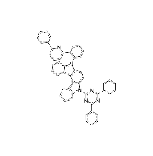 c1ccc(-c2cccc(-c3ccccc3-n3c4ccccc4c4c5c6ccccc6n(-c6nc(-c7ccccc7)nc(-c7ccccc7)n6)c5ccc43)n2)cc1